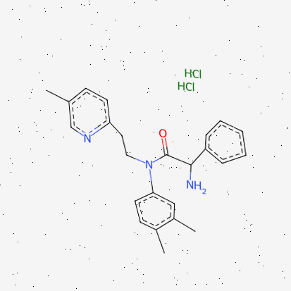 Cc1ccc(CCN(C(=O)C(N)c2ccccc2)c2ccc(C)c(C)c2)nc1.Cl.Cl